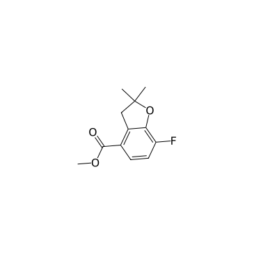 COC(=O)c1ccc(F)c2c1CC(C)(C)O2